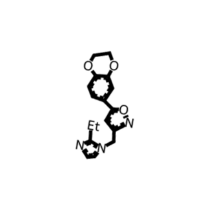 CCc1nccn1Cc1cc(-c2ccc3c(c2)OCCO3)on1